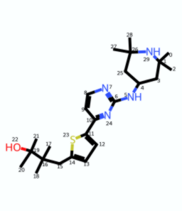 CC1(C)CC(Nc2nccc(-c3ccc(CC(C)(C)C(C)(C)O)s3)n2)CC(C)(C)N1